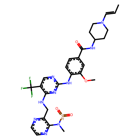 CC=CN1CCC(NC(=O)c2ccc(Nc3ncc(C(F)(F)F)c(NCc4nccnc4N(C)[SH](=O)=O)n3)c(OC)c2)CC1